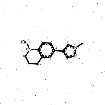 Cn1cc(-c2ccc3c(c2)CCCN3C(C)(C)C)cn1